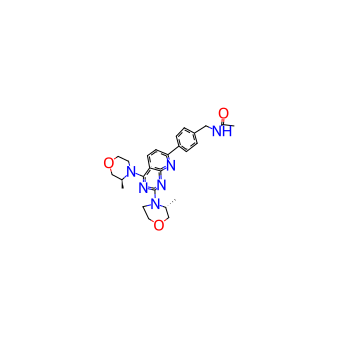 CC(=O)NCc1ccc(-c2ccc3c(N4CCOC[C@@H]4C)nc(N4CCOC[C@H]4C)nc3n2)cc1